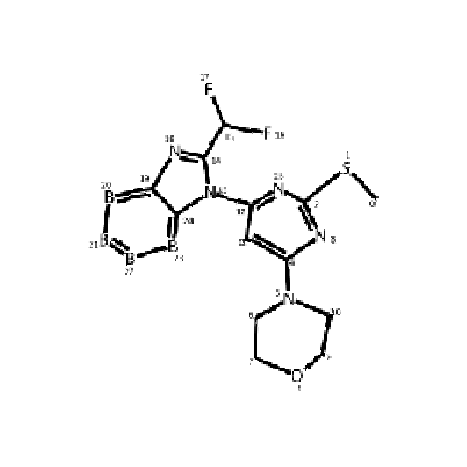 CSc1nc(N2CCOCC2)cc(-n2c(C(F)F)nc3bbbbc32)n1